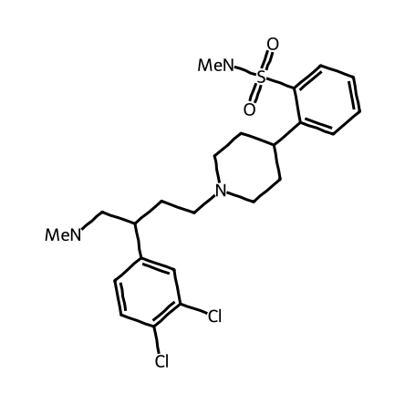 CNCC(CCN1CCC(c2ccccc2S(=O)(=O)NC)CC1)c1ccc(Cl)c(Cl)c1